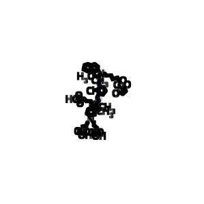 CC1(C)C(/C=C/C2=C(Cl)C(=C/C=C3/N(CCCCCC(=O)ON4C(=O)CCC4=O)c4ccc5ccccc5c4C3(C)C)/CCC2)=[N+](CCCS(=O)(=O)O)c2ccc(N(CCCS(=O)(=O)O)CCCS(=O)(=O)O)cc21